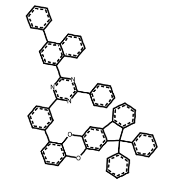 c1ccc(-c2nc(-c3cccc(-c4cccc5c4Oc4cc6c(cc4O5)C(c4ccccc4)(c4ccccc4)c4ccccc4-6)c3)nc(-c3ccc(-c4ccccc4)c4ccccc34)n2)cc1